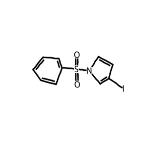 O=S(=O)(c1ccccc1)n1ccc(I)c1